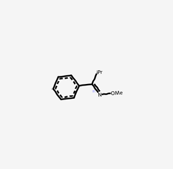 CO/N=C(/c1cc[c]cc1)C(C)C